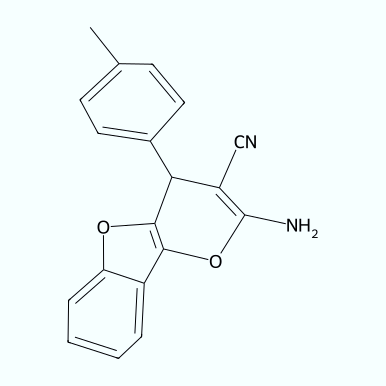 Cc1ccc(C2C(C#N)=C(N)Oc3c2oc2ccccc32)cc1